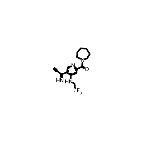 C#CC(=N)c1cnc(C(=O)N2CCCCCC2)cc1NCC(F)(F)F